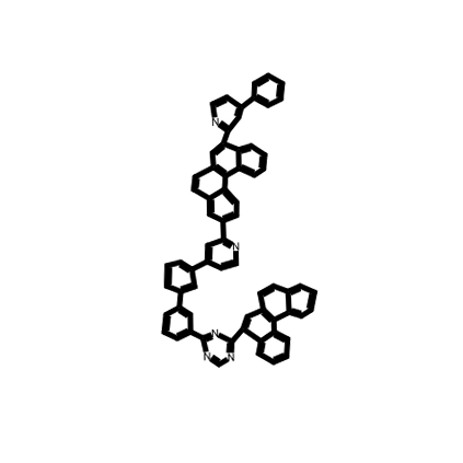 c1ccc(-c2ccnc(-c3cc4ccc5cc(-c6cc(-c7cccc(-c8cccc(-c9ncnc(-c%10cc%11ccc%12ccccc%12c%11c%11ccccc%10%11)n9)c8)c7)ccn6)ccc5c4c4ccccc34)c2)cc1